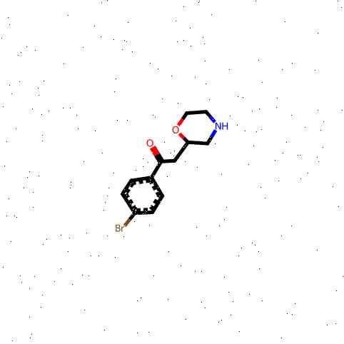 O=C(CC1CNCCO1)c1ccc(Br)cc1